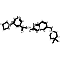 CC1(C)CCN(Cc2ccc3nc(CNC(=O)c4cncc(N5CCCC5)c4)cn3c2)CC1